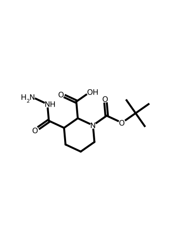 CC(C)(C)OC(=O)N1CCCC(C(=O)NN)C1C(=O)O